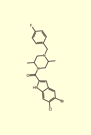 CC1CN(C(=O)c2cc3cc(Br)c(Cl)cc3[nH]2)C(C)CN1Cc1ccc(F)cc1